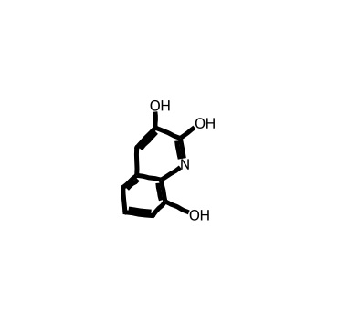 Oc1cc2cccc(O)c2nc1O